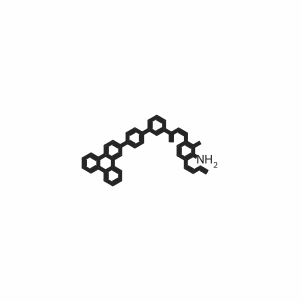 C=C/C=C\c1ccc(/C=C\C(=C)c2cccc(-c3ccc(-c4ccc5c6ccccc6c6ccccc6c5c4)cc3)c2)c(C)c1N